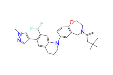 C=C(CC(C)(C)C)N1CCOc2ccc(N3CCCc4cc(-c5cnn(C)c5)c(C(F)F)cc43)cc2C1